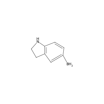 Bc1ccc2c(c1)CCN2